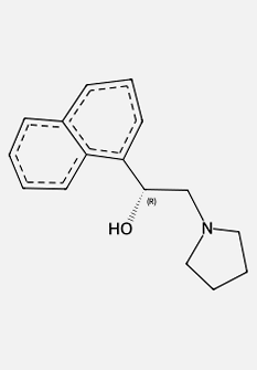 O[C@@H](CN1CCCC1)c1cccc2ccccc12